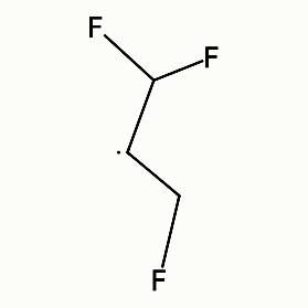 FC[CH]C(F)F